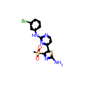 CS(=O)(=O)c1nc(N)sc1-c1ccnc(Nc2cccc(Br)c2)n1